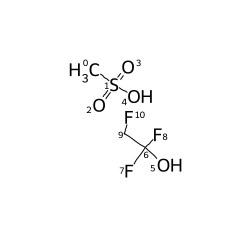 CS(=O)(=O)O.OC(F)(F)CF